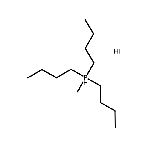 CCCC[PH](C)(CCCC)CCCC.I